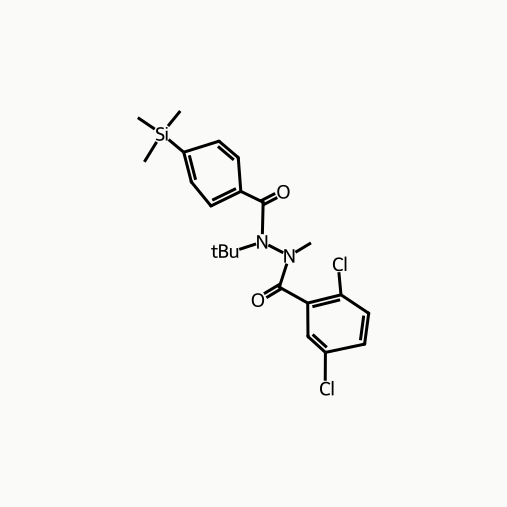 CN(C(=O)c1cc(Cl)ccc1Cl)N(C(=O)c1ccc([Si](C)(C)C)cc1)C(C)(C)C